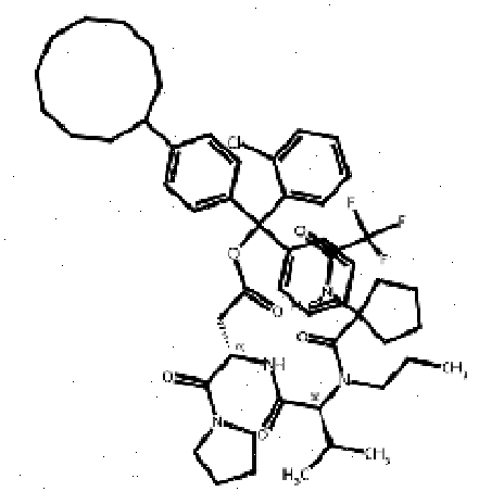 CCCN(C(=O)C1(N(C)C(=O)C(F)(F)F)CCCC1)[C@H](C(=O)N[C@@H](CC(=O)OC(c1ccccc1)(c1ccc(C2CCCCCCCCC2)cc1)c1ccccc1Cl)C(=O)N1CCCC1)C(C)C